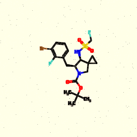 CC(C)(C)OC(=O)N1CC2(CC2)[C@H](NS(=O)(=O)CF)[C@@H]1Cc1cccc(Br)c1F